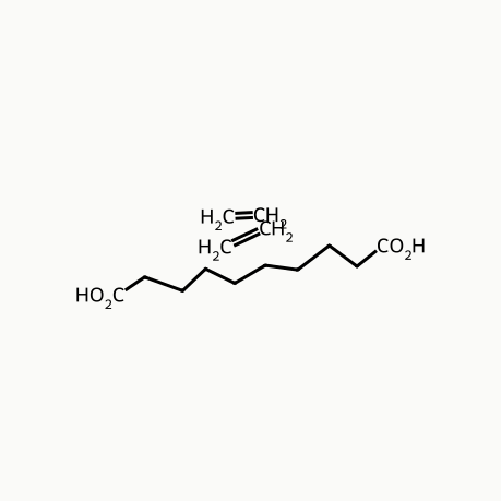 C=C.C=C.O=C(O)CCCCCCCCC(=O)O